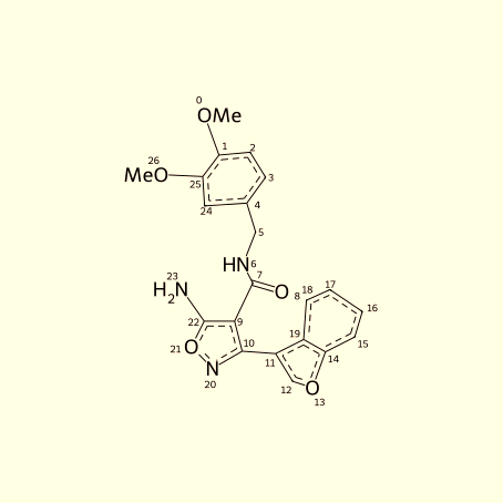 COc1ccc(CNC(=O)c2c(-c3coc4ccccc34)noc2N)cc1OC